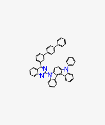 c1ccc(-c2ccc(-c3cccc(-c4nc(-n5c6ccccc6c6c7c8ccccc8n(-c8ccccc8)c7ccc65)nc5ccccc45)c3)cc2)cc1